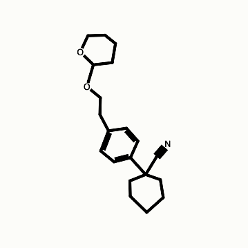 N#CC1(c2ccc(CCOC3CCCCO3)cc2)CCCCC1